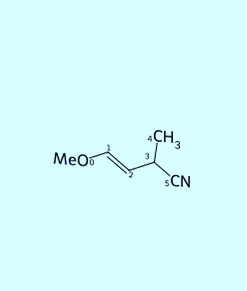 COC=CC(C)C#N